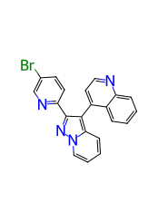 Brc1ccc(-c2nn3ccccc3c2-c2ccnc3ccccc23)nc1